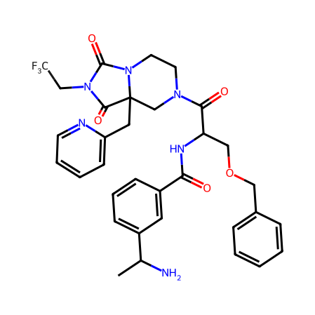 CC(N)c1cccc(C(=O)NC(COCc2ccccc2)C(=O)N2CCN3C(=O)N(CC(F)(F)F)C(=O)C3(Cc3ccccn3)C2)c1